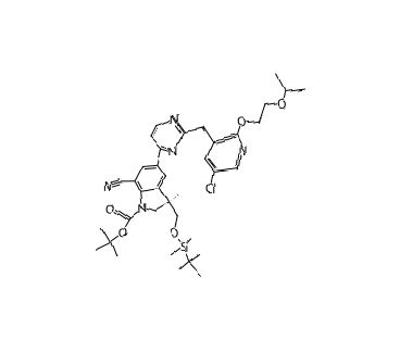 CC(C)OCCOc1ncc(Cl)cc1Cc1nccc(-c2cc(C#N)c3c(c2)[C@@](C)(CO[Si](C)(C)C(C)(C)C)CN3C(=O)OC(C)(C)C)n1